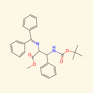 COC(=O)C(N=C(c1ccccc1)c1ccccc1)C(NC(=O)OC(C)(C)C)c1ccccc1